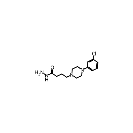 NNC(=O)CCCN1CCN(c2cccc(Cl)c2)CC1